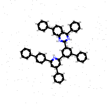 c1ccc(-c2ccc(-c3cc(-c4ccccc4)cc(-c4cc(-c5ccccc5)cc(-c5nc(-c6ccccc6)c6ccc(-c7ccccc7)cc6n5)c4)n3)cc2)cc1